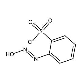 O=S(=O)(Cl)c1ccccc1N=NO